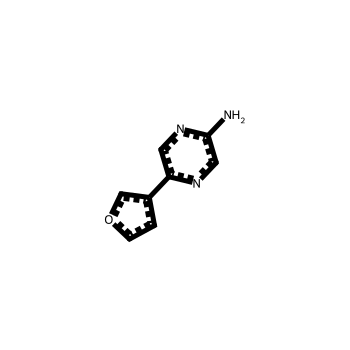 Nc1cnc(-c2ccoc2)cn1